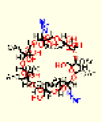 CC(=O)OCC1O[C@H]2O[C@@H]3C(CO)OC(O[C@@H]4C(CN=[N+]=[N-])O[C@@H](O[C@@H]5C(CO)O[C@H](O[C@@H]6C(COC(C)=O)O[C@H](O[C@@H]7C(COC(C)=O)O[C@H](O[C@@H]8C(CN=[N+]=[N-])O[C@H](O[C@H]1C(O)[C@@H]2O)C(O)[C@H]8O)C(O)[C@H]7O)[C@@H](OC(C)=O)C6O)[C@@H](OC(C)=O)C5OC(C)=O)[C@@H](OC(C)=O)C4OC(C)=O)C(OC(C)=O)[C@H]3OC(C)=O